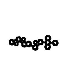 c1ccc(-c2c3ccccc3c(-c3ccc4oc5c(-c6ccc7c(ccc8c7oc7ccc9c%10ccccc%10oc9c78)c6)cccc5c4c3)c3ccccc23)cc1